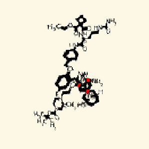 CCOC(=O)C1(C(=O)N[C@@H](CCCNC(N)=O)C(=O)Nc2ccc(COc3ccc(F)cc3-c3cc(N4C[C@H]5CC[C@H](C4)N5c4ccnc(OCCN5CCN(C(=O)OC(C)(C)C)C[C@H]5C)c4)c(N)nn3)cc2)CCC1